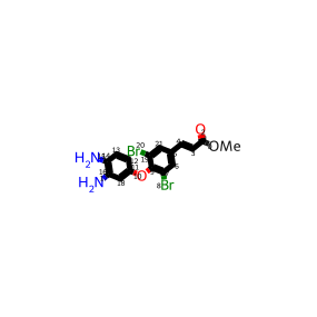 COC(=O)/C=C/c1cc(Br)c(Oc2ccc(N)c(N)c2)c(Br)c1